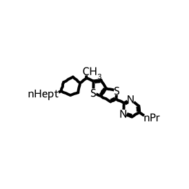 CCCCCCCC1CCC(C(C)c2cc3sc(-c4ncc(CCC)cn4)cc3s2)CC1